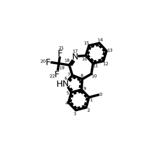 Cc1cccc2[nH]c3c(c12)Cc1ccccc1N=C3C(F)(F)F